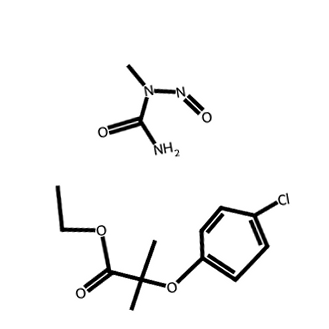 CCOC(=O)C(C)(C)Oc1ccc(Cl)cc1.CN(N=O)C(N)=O